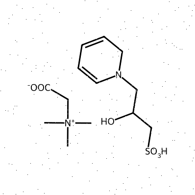 C[N+](C)(C)CC(=O)[O-].O=S(=O)(O)CC(O)CN1C=CC=CC1